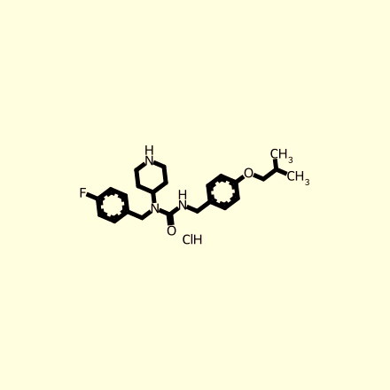 CC(C)COc1ccc(CNC(=O)N(Cc2ccc(F)cc2)C2CCNCC2)cc1.Cl